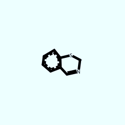 [C]1N=Cc2ccccc2S1